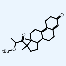 CC(OC(C)(C)C)C(=O)C1(C)CCC2C3CCC4=CC(=O)CCC4=C3CCC21C